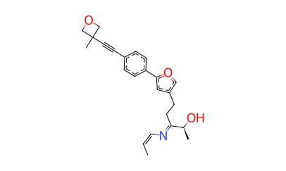 C/C=C\N=C(/CCc1coc(-c2ccc(C#CC3(C)COC3)cc2)c1)[C@H](C)O